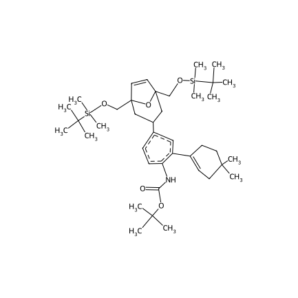 CC1(C)CC=C(c2cc(C3CC4(CO[Si](C)(C)C(C)(C)C)C=CC(CO[Si](C)(C)C(C)(C)C)(C3)O4)ccc2NC(=O)OC(C)(C)C)CC1